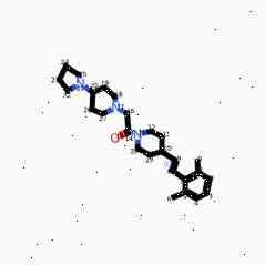 Cc1cccc(C)c1/C=C/C1CCN(C(=O)CN2CCC(N3CCCC3)CC2)CC1